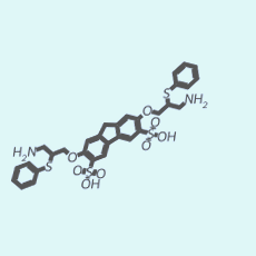 NCC(COc1cc2c(cc1S(=O)(=O)O)-c1cc(S(=O)(=O)O)c(OCC(CN)Sc3ccccc3)cc1C2)Sc1ccccc1